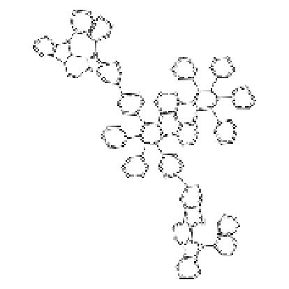 C1=CC2c3ccccc3N(c3ccccc3)C2c2c1c1cc(-c3ccc(-c4c(-c5ccccc5)c(-c5ccccc5)c(-c5ccc(-c6ccc7c(c6)c6ccc8c9ccccc9n(-c9ccccc9)c8c6n7-c6ccccc6)cc5)c5c6cccc7c8c(-c9ccccc9)c(-c9ccccc9)c(-c9ccccc9)c(-c9ccccc9)c8c8cccc(c45)c8c76)cc3)ccc1n2-c1ccccc1